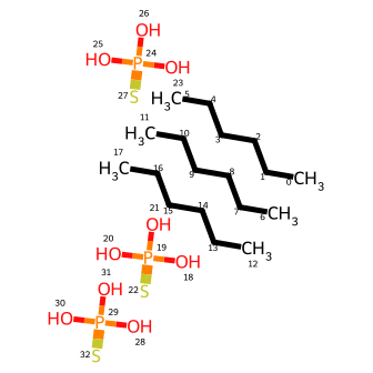 CCCCCC.CCCCCC.CCCCCC.OP(O)(O)=S.OP(O)(O)=S.OP(O)(O)=S